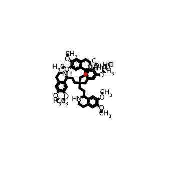 COc1ccc(CC(CCC2NCCc3cc(OC)c(OC)cc32)(CCC2NCCc3cc(OC)c(OC)cc32)CCC2NCCc3cc(OC)c(OC)cc32)cc1OC.Cl.Cl.Cl